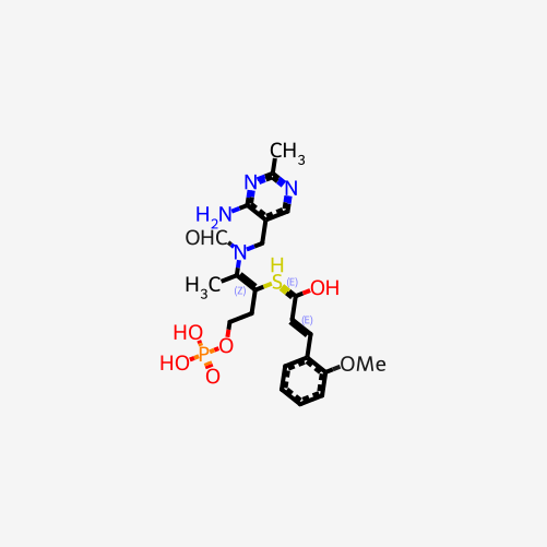 COc1ccccc1/C=C/C(O)=[SH]\C(CCOP(=O)(O)O)=C(\C)N(C=O)Cc1cnc(C)nc1N